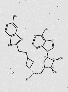 CC(C)N(C[C@H]1O[C@@H](n2cnc3c(N)ncnc32)[C@@H](O)[C@H]1O)[C@H]1C[C@H](CCc2nc3cc(C(C)(C)C)ccc3[nH]2)C1.O